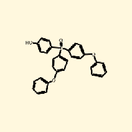 O=P(c1ccc(O)cc1)(c1ccc(Oc2ccccc2)cc1)c1ccc(Oc2ccccc2)cc1